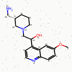 COc1ccc2nccc(C(O)CN3CCC[C@@H](CN)C3)c2c1